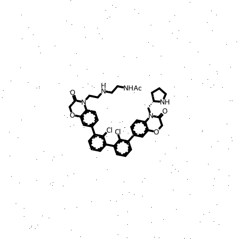 CC(=O)NCCNCCN1C(=O)COc2cc(-c3cccc(-c4cccc(-c5ccc6c(c5)OCC(=O)N6C[C@@H]5CCCN5)c4Cl)c3Cl)ccc21